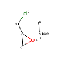 CNC.ClCC1CO1